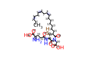 CC/C=C\C/C=C\C/C=C\CCCCCCCC(=O)N(CC(=O)O)C(=O)[C@@H](CS)NC(=O)CCC(N)C(=O)O